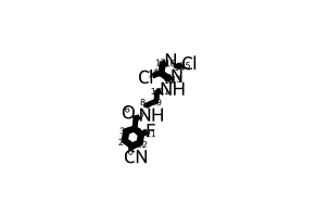 N#Cc1ccc(C(=O)NCCCNc2nc(Cl)ncc2Cl)c(F)c1